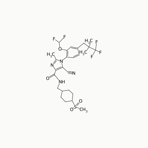 Cc1nc(C(=O)NCC2CCC(S(C)(=O)=O)CC2)c(C#N)n1-c1ccc(CC(C)(C)C(F)(F)F)cc1OC(F)F